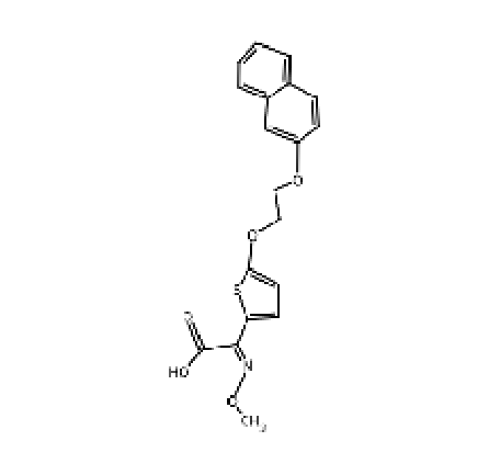 CON=C(C(=O)O)c1ccc(OCCOc2ccc3ccccc3c2)s1